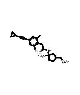 CCc1cc(C#CC2CC2)cc(C)c1CC(=O)NC1(C(=O)O)CCC(COC)C1